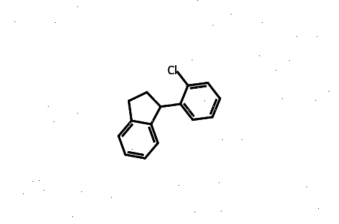 Clc1ccccc1C1CCc2ccccc21